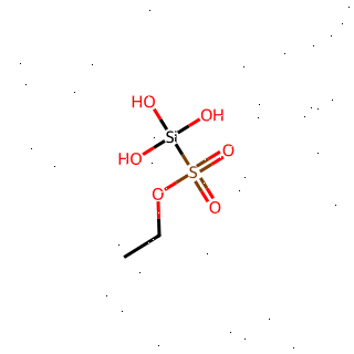 CCOS(=O)(=O)[Si](O)(O)O